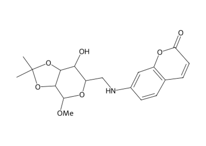 COC1OC(CNc2ccc3ccc(=O)oc3c2)C(O)C2OC(C)(C)OC12